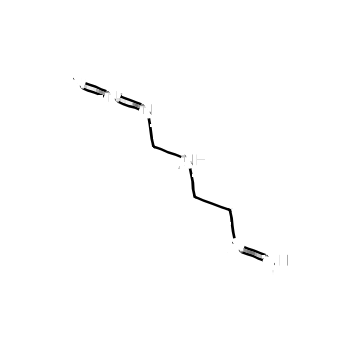 [N-]=[N+]=NCNCCN=N